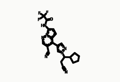 N#CCC(C1CCCC1)n1cc(-c2c(C#N)cnn3c(NC(=O)C(F)(F)F)ccc23)cn1